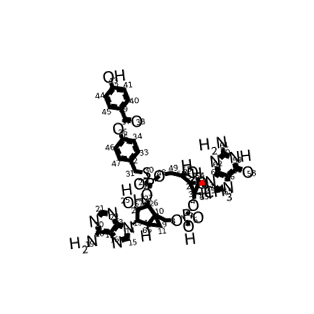 CO[C@H]1[C@H]2OP(=O)(O)OCC34C[C@@H]3[C@@H](n3cnc5c(N)ncnc53)[C@H](O)[C@@H]4O[P@@](=O)(SCc3ccc(OC(=O)c4ccc(O)cc4)cc3)OC[C@H]1O[C@H]2n1cnc2c(=O)[nH]c(N)nc21